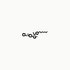 CCCCCCCc1ccc(C(CC)n2c(C)ccc2-c2ccc(OCc3ccccc3)cc2)cc1